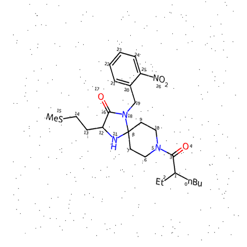 CCCCC(CC)C(=O)N1CCC2(CC1)NC(CCSC)C(=O)N2Cc1ccccc1[N+](=O)[O-]